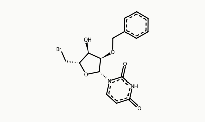 O=c1ccn([C@@H]2O[C@H](CBr)[C@@H](O)[C@H]2OCc2ccccc2)c(=O)[nH]1